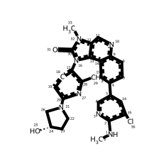 CNc1ncc(-c2ccc3ncc4c(c3c2)n(-c2ccc(N3CC[C@H](O)C3)nc2C)c(=O)n4C)cc1Cl